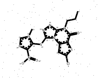 CCCn1c(=O)c2sc(Cl)cc2n2c(Sc3c([N+](=O)[O-])ncn3C)nnc12